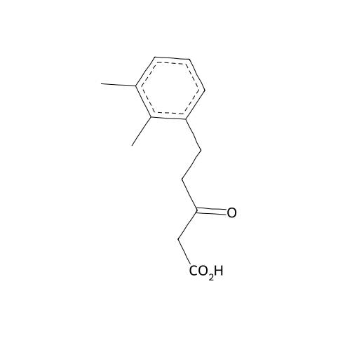 Cc1cccc(CCC(=O)CC(=O)O)c1C